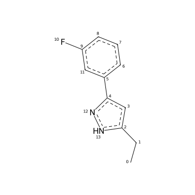 CCc1cc(-c2cccc(F)c2)n[nH]1